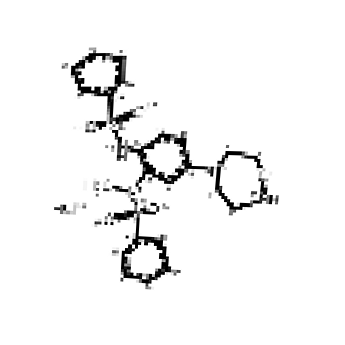 CN(c1cc(N2CCCNCC2)ccc1NS(=O)(=O)c1ccccc1)S(=O)(=O)c1ccccc1.Cl